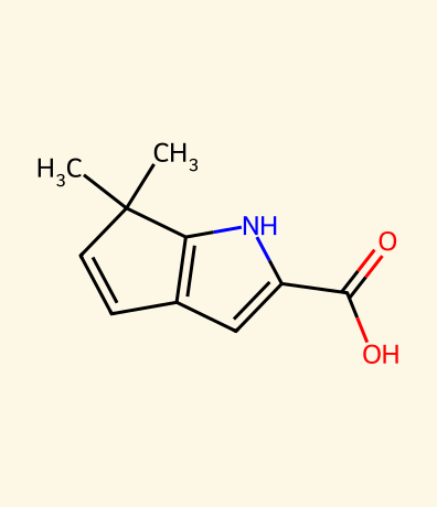 CC1(C)C=Cc2cc(C(=O)O)[nH]c21